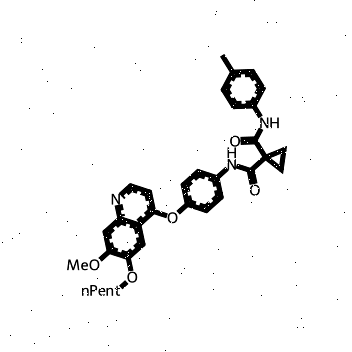 CCCCCOc1cc2c(Oc3ccc(NC(=O)C4(C(=O)Nc5ccc(C)cc5)CC4)cc3)ccnc2cc1OC